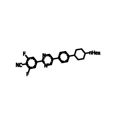 CCCCCCC1CCC(c2ccc(-c3cnc(-c4cc(F)c(C#N)c(F)c4)nc3)cc2)CC1